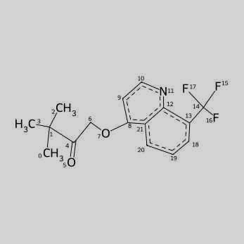 CC(C)(C)C(=O)COc1ccnc2c(C(F)(F)F)cccc12